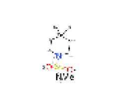 CNS(=O)(=O)N1CCC(C)(C)CC1